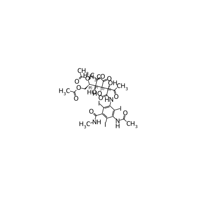 CNC(=O)c1c(I)c(NC(C)=O)c(I)c(NC(=O)[C@@](O)(C(C)=O)[C@](O)(C(C)=O)[C@@](O)(C(C)=O)[C@@H](COC(C)=O)OC(C)=O)c1I